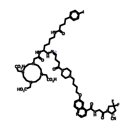 N#C[C@H]1CC(F)(F)CN1C(=O)CNC(=O)c1ccnc2ccc(OCCCCN3CCN(C(=O)CC/C=N\NC(CCCCNC(=O)CCCc4ccc(I)cc4)NC(=O)CN4CCN(CC(=O)O)CCN(CC(=O)O)CCN(CC(=O)O)CC4)CC3)cc12